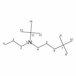 CCCN(CCCC(C)(C)C)C(C)(C)C